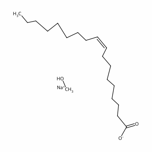 CCCCCCCC/C=C\CCCCCCCC(=O)[O-].CO.[Na+]